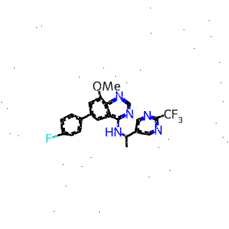 COc1cc(-c2ccc(F)cc2)cc2c(NC(C)c3cnc(C(F)(F)F)nc3)ncnc12